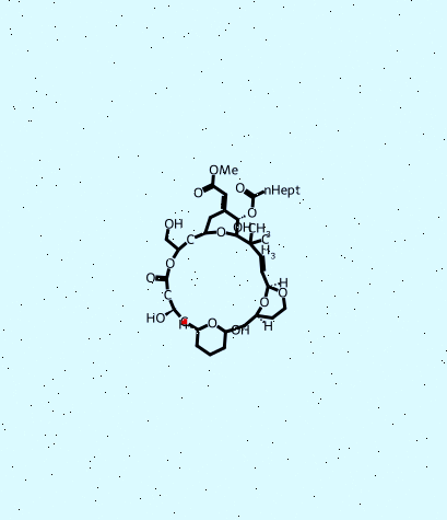 CCCCCCCC(=O)O[C@H]1/C(=C/C(=O)OC)CC2CC(CO)OC(=O)C[C@H](O)C[C@@H]3CCC[C@](O)(C[C@@H]4CCO[C@H](/C=C/C(C)(C)[C@]1(O)O2)O4)O3